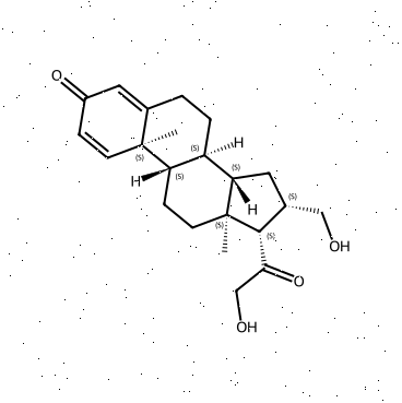 C[C@]12CC[C@H]3[C@@H](CCC4=CC(=O)C=C[C@@]43C)[C@@H]1C[C@H](CO)[C@@H]2C(=O)CO